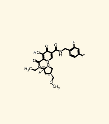 CCN1C(=O)c2c(O)c(=O)c(C(=O)NCc3ccc(F)cc3F)cn2N2C[C@@H](COC)C[C@@H]12